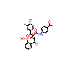 CC(=O)c1ccc(NC(=O)C2C3C(=O)OC(O)(OC2c2ccc(Cl)c(Cl)c2)c2ccccc2C3=O)cc1